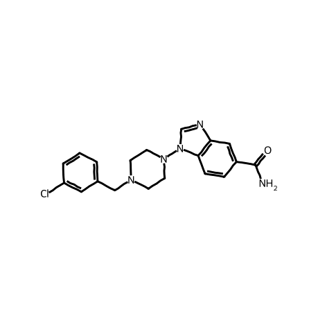 NC(=O)c1ccc2c(c1)ncn2N1CCN(Cc2cccc(Cl)c2)CC1